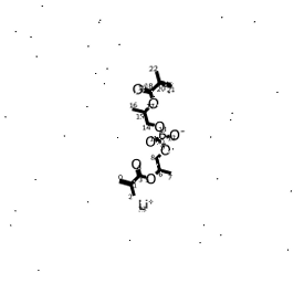 C=C(C)C(=O)OC(C)COP(=O)([O-])OCC(C)OC(=O)C(=C)C.[Li+]